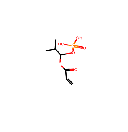 C=CC(=O)OC(OP(=O)(O)O)C(C)C